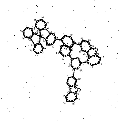 c1ccc(-c2nc(-c3ccc4c(c3)oc3ccccc34)nc(-c3cccc4oc5ccc(-c6ccc(-c7ccc8c(c7)-c7ccccc7C87c8ccccc8-c8ccccc87)cc6)cc5c34)n2)cc1